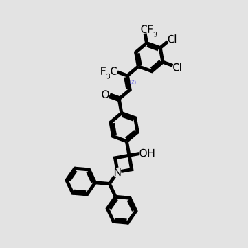 O=C(/C=C(/c1cc(Cl)c(Cl)c(C(F)(F)F)c1)C(F)(F)F)c1ccc(C2(O)CN(C(c3ccccc3)c3ccccc3)C2)cc1